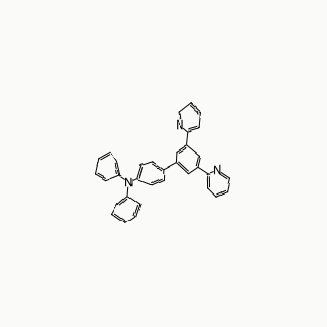 c1ccc(N(c2ccccc2)c2ccc(-c3cc(-c4ccccn4)cc(-c4ccccn4)c3)cc2)cc1